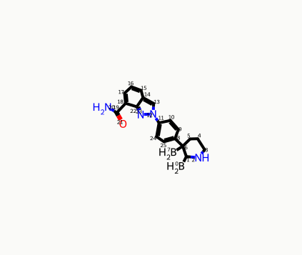 BC1NCCCC1(B)c1ccc(-n2cc3cccc(C(N)=O)c3n2)cc1